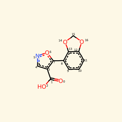 O=C(O)c1cnoc1-c1cccc2c1OCO2